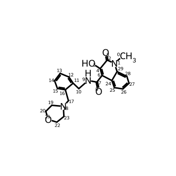 Cn1c(=O)c(O)c(C(=O)NCc2ccccc2CN2CCOCC2)c2ccccc21